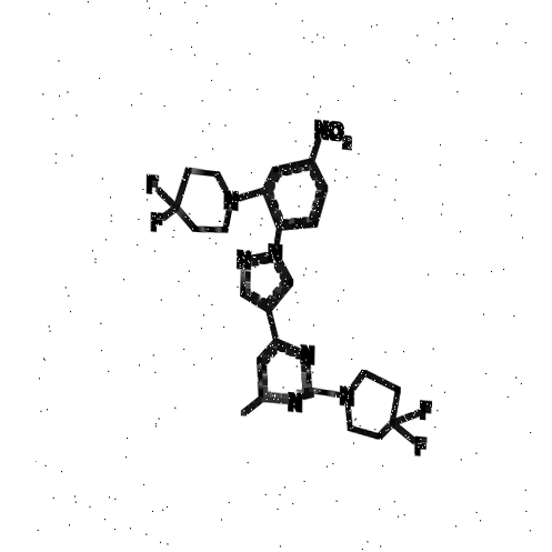 Cc1cc(-c2cnn(-c3ccc([N+](=O)[O-])cc3N3CCC(F)(F)CC3)c2)nc(N2CCC(F)(F)CC2)n1